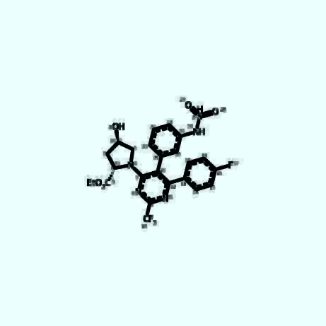 CCOC(=O)[C@@H]1C[C@@H](O)CN1c1nc(C(F)(F)F)nc(-c2ccc(F)cc2)c1-c1cccc(N[SH](=O)=O)c1